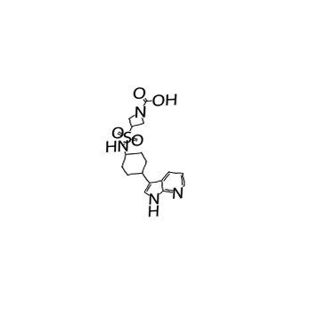 O=C(O)N1CC(S(=O)(=O)NC2CCC(c3c[nH]c4ncccc34)CC2)C1